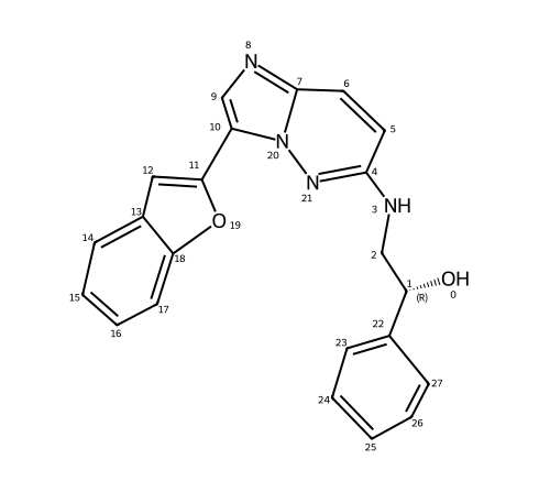 O[C@@H](CNc1ccc2ncc(-c3cc4ccccc4o3)n2n1)c1ccccc1